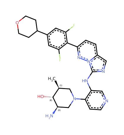 C[C@H]1CN(c2ccncc2Nc2ncc3ccc(-c4c(F)cc(C5CCOCC5)cc4F)nn23)C[C@@H](N)[C@@H]1O